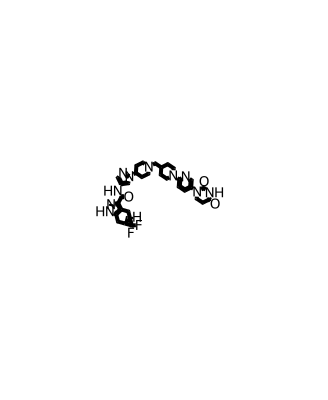 C[C@@]12Cc3[nH]nc(C(=O)Nc4cnn(C5CCN(CC6CCN(c7ccc(N8CCC(=O)NC8=O)cn7)CC6)CC5)c4)c3C[C@@H]1C2(F)F